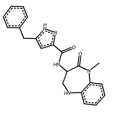 CN1C(=O)C(NC(=O)c2cc(Cc3ccccc3)[nH]n2)CNc2ccccc21